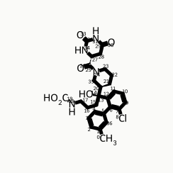 Cc1cccc(-c2c(Cl)cccc2[C@](O)(CCCNC(=O)O)[C@@H]2CCCN(C(=O)[C@H]3CC(=O)NC(=O)N3)C2)c1